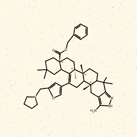 CC1(C)CC[C@]2(C(=O)OCc3ccccc3)CC[C@]3(C)C(=C(c4coc(CN5CCCC5)c4)CC4[C@@]5(C)Cc6c(n[nH]c6N)C(C)(C)C5CC[C@]43C)C2C1